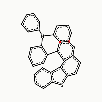 c1ccc(N(c2ccccc2)c2ccccc2-c2cccc3ccc4sc5ccccc5c4c23)cc1